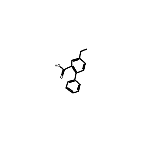 CCc1ccc(-c2ccccc2)c(C(=O)O)c1